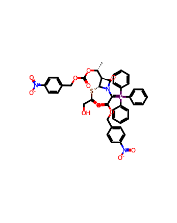 C[C@@H](OC(=O)OCc1ccc([N+](=O)[O-])cc1)[C@H]1C(=O)N(C(C(=O)OCc2ccc([N+](=O)[O-])cc2)=P(c2ccccc2)(c2ccccc2)c2ccccc2)[C@@H]1SC(=O)CO